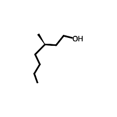 CCCC[C@@H](C)CCO